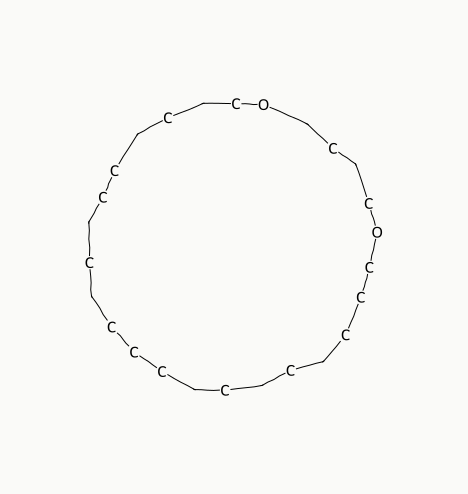 C1CCCCCCCCCCOCCCCOCCCCCCCCC1